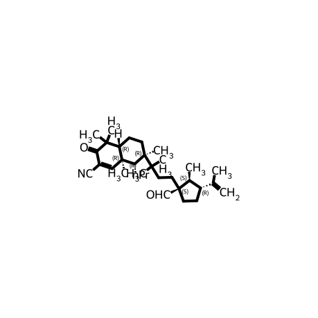 C=C(C)[C@@H]1CC[C@](C=O)(CCC(C)(C)[C@]2(C)CC[C@H]3C(C)(C)C(=O)C(C#N)=C[C@]3(C)[C@H]2CCC)[C@H]1C